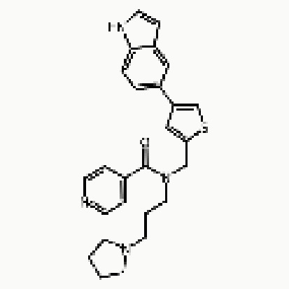 O=C(c1ccncc1)N(CCCN1CCCC1)Cc1cc(-c2ccc3[nH]ccc3c2)cs1